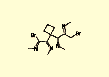 CN=C(Br)C(=NC)C1(C(=NC)C(CBr)=NC)CCC1